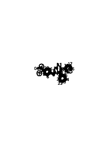 CS(=O)(=O)c1ccc(CN2C=N[C@@H](c3ccccc3)[C@H]2c2ccccc2)cc1